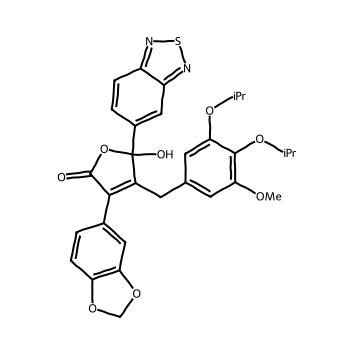 COc1cc(CC2=C(c3ccc4c(c3)OCO4)C(=O)OC2(O)c2ccc3nsnc3c2)cc(OC(C)C)c1OC(C)C